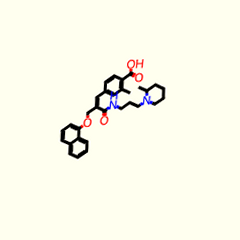 Cc1cc(C=C(COc2cccc3ccccc23)C(=O)NCCCN2CCCCC2C)ccc1C(=O)O